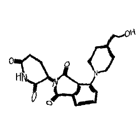 O=C1CCC(N2C(=O)c3cccc(N4CCC(CO)CC4)c3C2=O)C(=O)N1